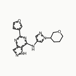 c1cc(-c2nc(Nc3cnn(C4CCCOC4)c3)c3[nH]ncc3n2)co1